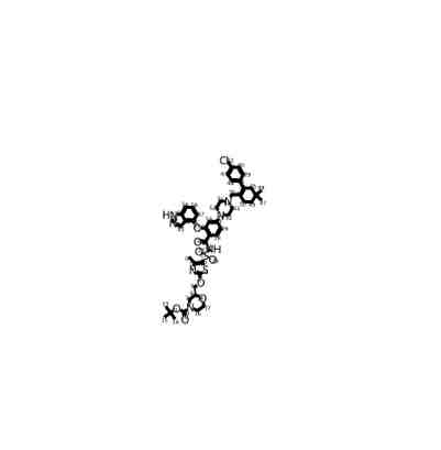 Cc1nc(OC[C@@H]2CN(C(=O)OC(C)(C)C)CCO2)sc1S(=O)(=O)NC(=O)c1ccc(N2CCN(CC3=C(c4ccc(Cl)cc4)CC(C)(C)CC3)CC2)cc1Oc1cccc2[nH]ncc12